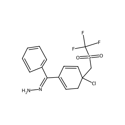 NN=C(C1=CCC(Cl)(CS(=O)(=O)C(F)(F)F)C=C1)c1ccccc1